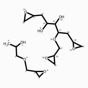 CC(O)COCC1CO1.OC(CC1CO1)C(O)C(CC1CO1)OCC1CO1